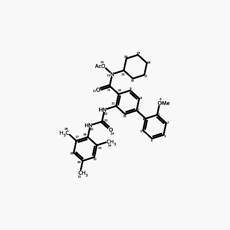 COc1ccccc1-c1ccc(C(=O)N(OC(C)=O)C2CCCCC2)c(NC(=O)Nc2c(C)cc(C)cc2C)c1